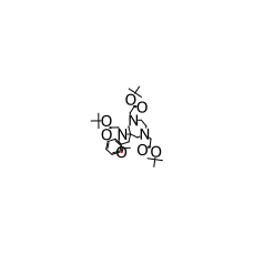 CC(=O)CN(CC(=O)OC(C)(C)C)C1(Cc2ccccc2)CN(CC(=O)OC(C)(C)C)CCN(CC(=O)OC(C)(C)C)C1